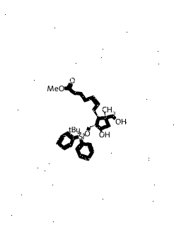 COC(=O)CCC/C=C\C[C@@H]1[C@@H](CO[Si](c2ccccc2)(c2ccccc2)C(C)(C)C)[C@H](O)C[C@]1(C)CO